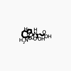 N[C@H]1CCCC[C@@H]2CC[C@@H](C(=O)N[C@@H](CCC(=O)O)C(=O)O)N2C1=O